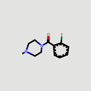 CN1CCN(C(=O)c2ccccc2F)CC1